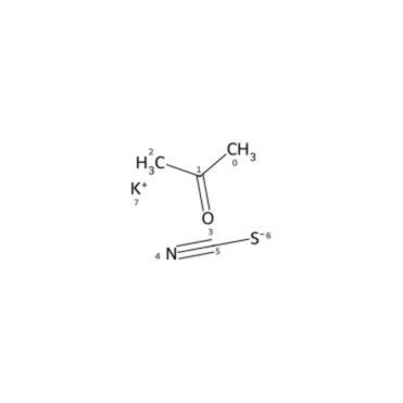 CC(C)=O.N#C[S-].[K+]